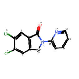 O=c1c2cc(Cl)c(Cl)cc2[se]n1-c1ccccn1